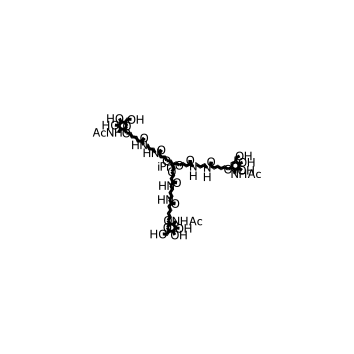 CC(=O)NC1C(OCCCCC(=O)NCCCNC(=O)CCOCC(COCCC(=O)NCCCNC(=O)CCCCOC2OC(CO)C(O)C(O)C2NC(C)=O)(COCCC(=O)NCCCNC(=O)CCCCOC2OC(CO)C(O)C(O)C2NC(C)=O)C(C)C)CC(CO)C(O)C1O